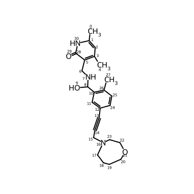 Cc1cc(C)c(CNC(O)c2cc(C#CCN3CCCCOCC3)ccc2C)c(=O)[nH]1